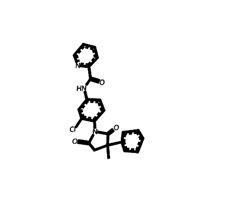 CC1(c2ccccc2)CC(=O)N(c2ccc(NC(=O)c3ccccn3)cc2Cl)C1=O